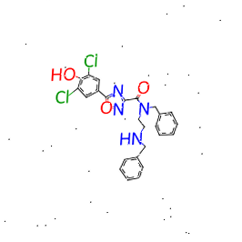 O=C(c1noc(-c2cc(Cl)c(O)c(Cl)c2)n1)N(CCNCc1ccccc1)Cc1ccccc1